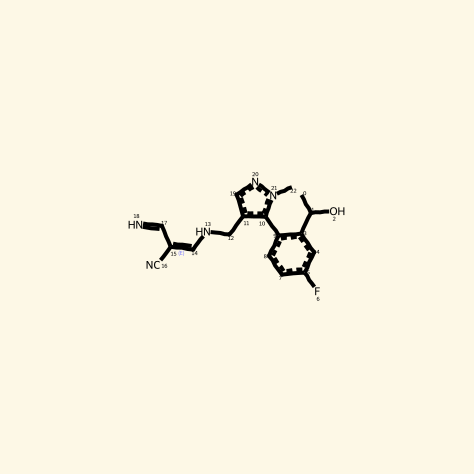 CC(O)c1cc(F)ccc1-c1c(CN/C=C(/C#N)C=N)cnn1C